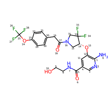 Nc1ncc(C(=O)NCCO)cc1O[C@@H]1CN(C(=O)Cc2ccc(OC(F)(F)F)cc2)CC1(F)F